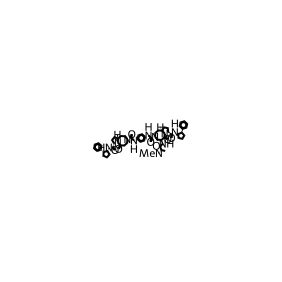 CN[C@@H](C)C(=O)N[C@H]1CN(C(=O)Nc2ccc(NC(=O)N3CCC(=O)N4[C@H](CC[C@H]4C(=O)N[C@@H]4CCC[C@@H]4c4ccccc4)CC3)cc2)CC[C@H]2CC[C@@H](C(=O)N[C@@H]3CCC[C@@H]3c3ccccc3)N2C1=O